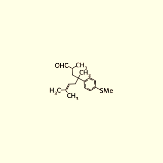 CSc1ccc(C(C)(CC=C(C)C)CC(C)C=O)cc1